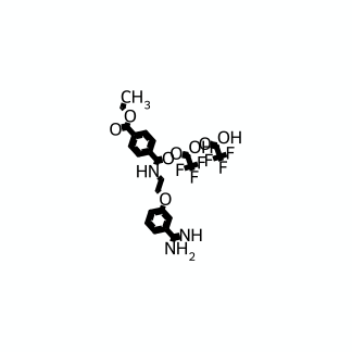 CCOC(=O)c1ccc(C(=O)NCCOc2cccc(C(=N)N)c2)cc1.O=C(O)C(F)(F)F.O=C(O)C(F)(F)F